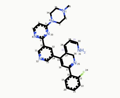 CN1CCN(c2ccnc(-c3cncc(C4=CC(c5ccccc5F)=NC/C4=C\C=C/N)c3)n2)CC1